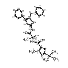 Cn1nc(C(C)(C)C)cc1C(=O)NC(C)(C)C(=O)Nc1nc(-c2ccccc2)c(Cc2ccccc2)s1